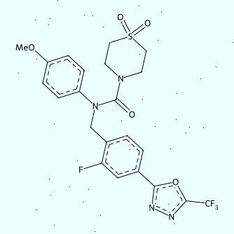 COc1ccc(N(Cc2ccc(-c3nnc(C(F)(F)F)o3)cc2F)C(=O)N2CCS(=O)(=O)CC2)cc1